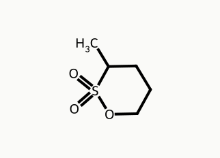 CC1CCCOS1(=O)=O